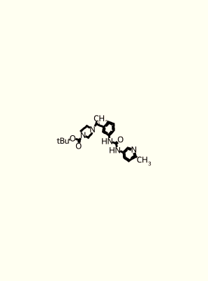 Cc1ccc(NC(=O)Nc2cccc([C@H](C)N3CCN(C(=O)OC(C)(C)C)CC3)c2)cn1